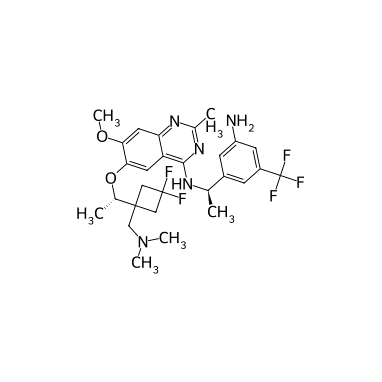 COc1cc2nc(C)nc(N[C@H](C)c3cc(N)cc(C(F)(F)F)c3)c2cc1O[C@@H](C)C1(CN(C)C)CC(F)(F)C1